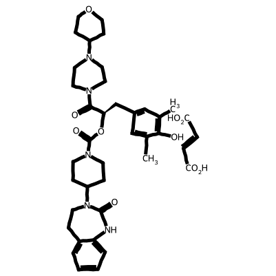 Cc1cc(C[C@@H](OC(=O)N2CCC(N3CCc4ccccc4NC3=O)CC2)C(=O)N2CCN(C3CCOCC3)CC2)cc(C)c1O.O=C(O)/C=C/C(=O)O